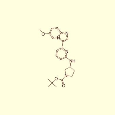 COc1ccc2ncc(-c3cccc(NC4CCN(C(=O)OC(C)(C)C)C4)n3)n2c1